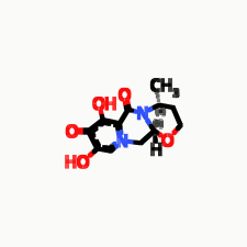 C[C@@H]1CCO[C@@H]2Cn3cc(O)c(=O)c(O)c3C(=O)N12